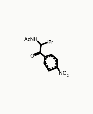 CC(=O)NC(C(=O)c1ccc([N+](=O)[O-])cc1)C(C)C